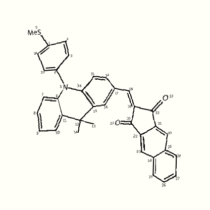 CSc1ccc(N2c3ccccc3C(C)(C)c3cc(C=C4C(=O)c5cc6ccccc6cc5C4=O)ccc32)cc1